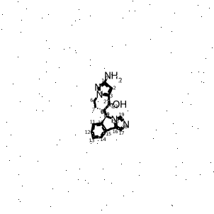 Nc1cc2n(n1)CC[C@@H]([C@@H]1c3ccccc3-c3cncn31)[C@H]2O